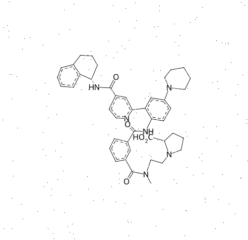 CN(CCN1CCCC1C(=O)O)C(=O)c1cccc(C(=O)Nc2ccc(N3CCCCC3)cc2-c2cc(C(=O)N[C@H]3CCCc4ccccc43)ccn2)c1